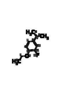 CCOc1ccc([C](C)C)cc1F